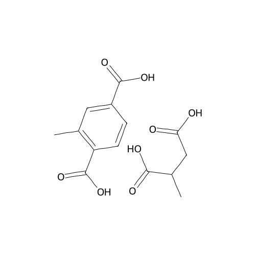 CC(CC(=O)O)C(=O)O.Cc1cc(C(=O)O)ccc1C(=O)O